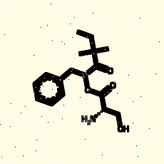 CCC(C)(C)C(=O)N(Cc1ccccc1)OC(=O)[C@@H](N)CO